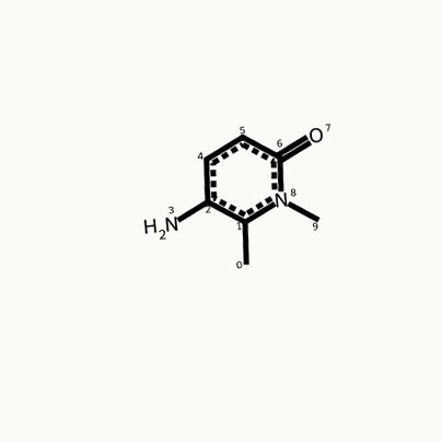 Cc1c(N)ccc(=O)n1C